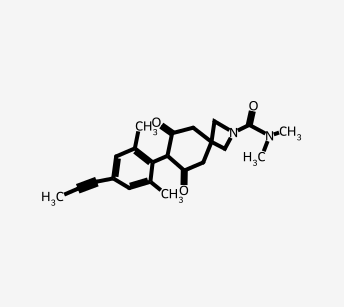 CC#Cc1cc(C)c(C2C(=O)CC3(CC2=O)CN(C(=O)N(C)C)C3)c(C)c1